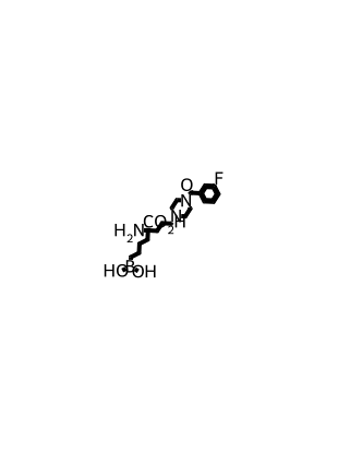 NC(CCCCB(O)O)(CCCN1CCN(C(=O)c2cccc(F)c2)CC1)C(=O)O